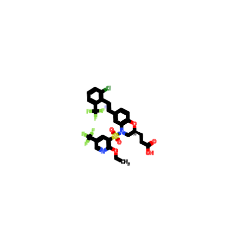 CCOc1ncc(C(F)(F)F)cc1S(=O)(=O)N1C[C@H](CCC(=O)O)Oc2ccc(/C=C/c3c(Cl)cccc3C(F)(F)F)cc21